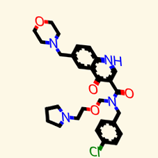 O=C(c1c[nH]c2ccc(CN3CCOCC3)cc2c1=O)N(COCCN1CCCC1)Cc1ccc(Cl)cc1